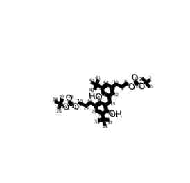 CC(C)(C)OC(=O)OCCCc1cc(Cc2cc(CCCOC(=O)OC(C)(C)C)cc(C(C)(C)C)c2O)c(O)c(C(C)(C)C)c1